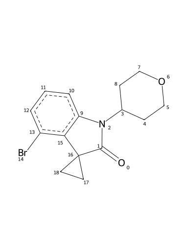 O=C1N(C2CCOCC2)c2cccc(Br)c2C12CC2